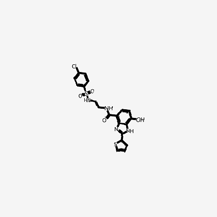 O=C(NCCNS(=O)(=O)c1ccc(Cl)cc1)c1ccc(O)c2[nH]c(-c3cccs3)nc12